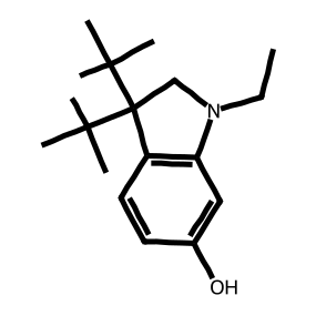 CCN1CC(C(C)(C)C)(C(C)(C)C)c2ccc(O)cc21